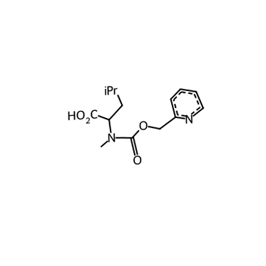 CC(C)CC(C(=O)O)N(C)C(=O)OCc1ccccn1